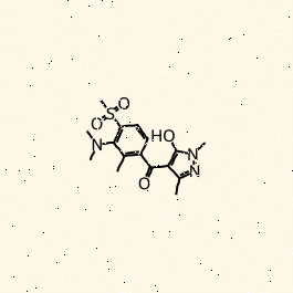 Cc1nn(C)c(O)c1C(=O)c1ccc(S(C)(=O)=O)c(N(C)C)c1C